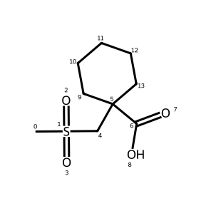 CS(=O)(=O)CC1(C(=O)O)CCCCC1